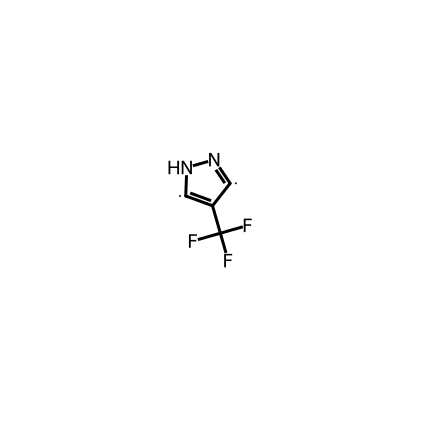 FC(F)(F)c1[c]n[nH][c]1